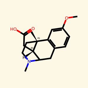 COc1ccc2c(c1)[C@@]1(C)CCN(C)C(C2)[C@@H]1CC(=O)O